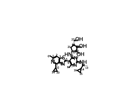 Cc1cc2sc(-c3c(C)nc(N[C@H](C)C4CC4)nc3NC3C[C@H](CO)[C@@H](O)[C@H]3O)nc2c(C2CC2)n1